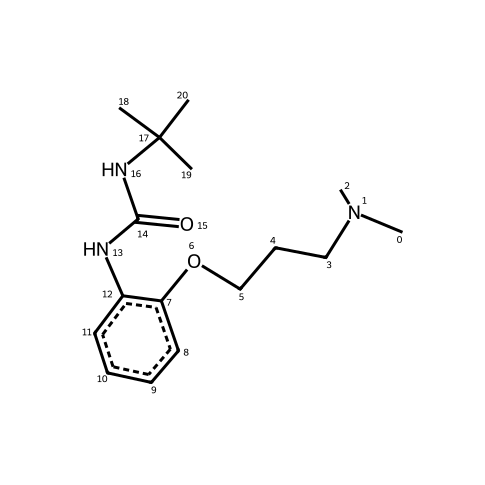 CN(C)CCCOc1ccccc1NC(=O)NC(C)(C)C